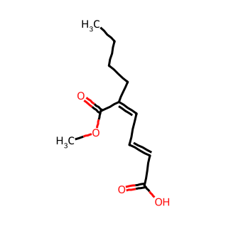 CCCCC(=CC=CC(=O)O)C(=O)OC